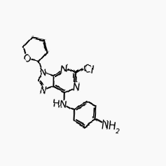 Nc1ccc(Nc2nc(Cl)nc3c2ncn3C2CCCCO2)cc1